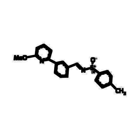 COc1cccc(-c2cccc(C=N[S@+]([O-])c3ccc(C)cc3)c2)n1